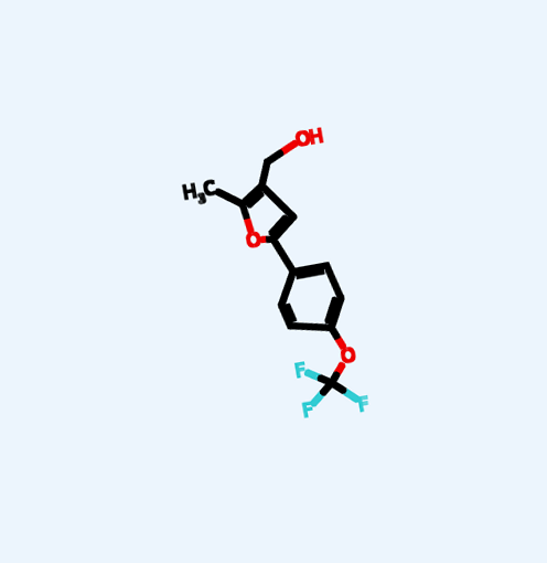 Cc1oc(-c2ccc(OC(F)(F)F)cc2)cc1CO